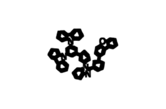 c1cc(-c2ccc3oc4ccccc4c3c2)cc(-c2nc3ccccc3n2-c2cccc(-c3cc(-n4c5ccccc5c5ccccc54)cc(-n4c5ccccc5c5ccccc54)c3)c2)c1